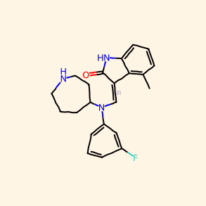 Cc1cccc2c1/C(=C/N(c1cccc(F)c1)C1CCCNCC1)C(=O)N2